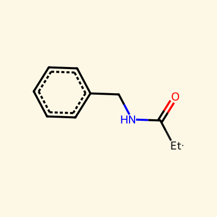 C[CH]C(=O)NCc1ccccc1